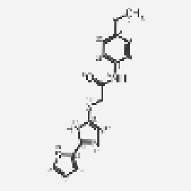 CCc1ccc(NC(=O)CSc2nnc(-c3cccs3)[nH]2)cc1